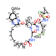 CC[C@@H]1[C@@H]2CN(C(=O)[C@H](C(C)(C)C)NC(=O)O[C@@H]3C[C@H]3CCCCCc3nc4ccc(OC)cc4nc3O2)[C@@H]1C(=O)N[C@]1(C(=O)NS(=O)(=O)C2(Cl)CC2)C[C@H]1C(F)F